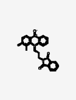 Cc1ccc2c(c1C)N(CCCN1C(=O)c3ccccc3C1=O)c1ccccc1[S+]2[O-]